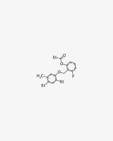 CCC(=O)Oc1cccc(F)c1COc1cc(C)c(CC)cc1CC